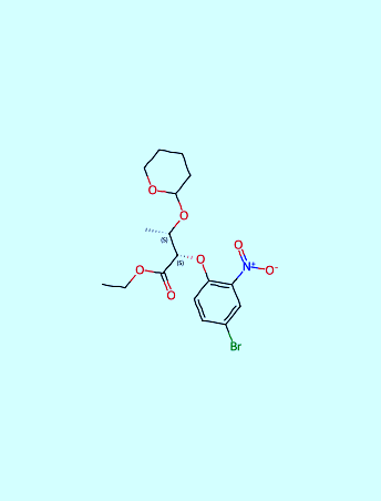 CCOC(=O)[C@@H](Oc1ccc(Br)cc1[N+](=O)[O-])[C@H](C)OC1CCCCO1